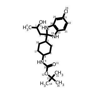 CC(O)CC1(C2CCC(NC(=O)OC(C)(C)C)CC2)Nc2ccc(Cl)cc2N1